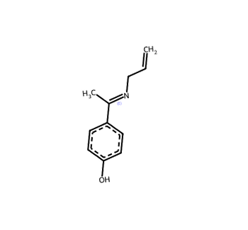 C=CC/N=C(\C)c1ccc(O)cc1